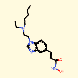 CCCCCN(CC)CCn1cnc2cc(C=CC(=O)NO)ccc21